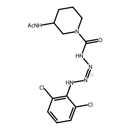 CC(=O)NC1CCCN(C(=O)N/N=N\Nc2c(Cl)cccc2Cl)C1